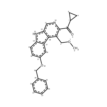 COCc1c(C(=O)C2CC2)ncc2[nH]c3ccc(OCc4ccccc4)cc3c12